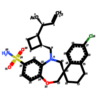 C=C[C@@H](OC(C)=O)[C@@H]1CC[C@H]1CN1C[C@@]2(CCCc3cc(Cl)ccc32)COc2ccc(S(N)(=O)=O)cc21